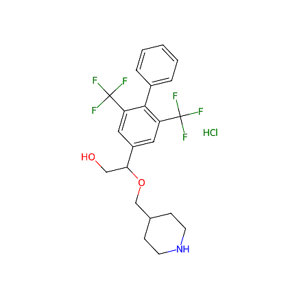 Cl.OCC(OCC1CCNCC1)c1cc(C(F)(F)F)c(-c2ccccc2)c(C(F)(F)F)c1